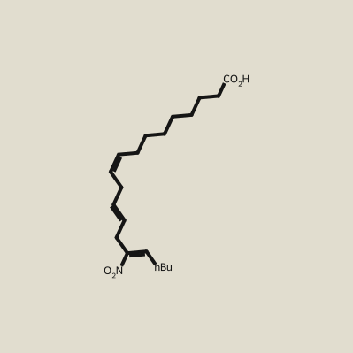 CCCCC=C(CC=CC/C=C\CCCCCCCC(=O)O)[N+](=O)[O-]